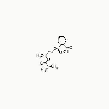 C=C(C)C(=O)OC(C)CCOC(=O)C1C=CCCC1C(=O)O